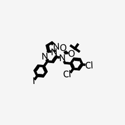 CC(C)(C)OC(=O)N(Cc1ccc(Cl)cc1Cl)c1cc(-c2ccc(I)cc2)nc2ccnn12